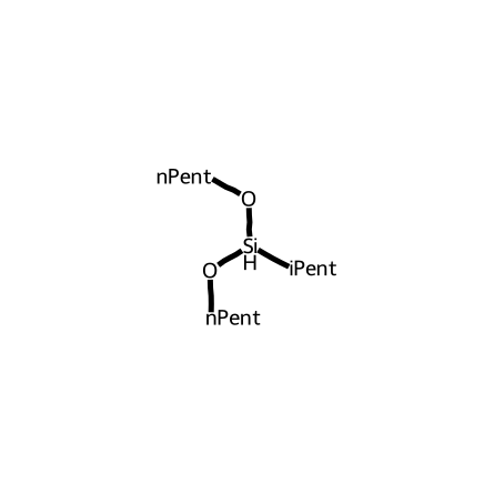 CCCCCO[SiH](OCCCCC)C(C)CCC